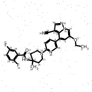 CCOc1cc(-c2ccc(N3CCC(C)(NC(=O)c4cc(F)ccc4F)CC3)nc2)c2c(C#N)cnn2c1